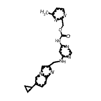 Cc1ccnc(COC(=O)Nc2cc(NCc3cn4cc(C5CC5)ccc4n3)ncn2)n1